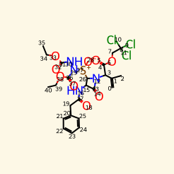 C=C(C)C(C(=O)OCC(Cl)(Cl)Cl)N1C(=O)C(NC(=O)Cc2ccccc2)C1[S+]([O-])N(NC(=O)OCC)C(=O)OCC